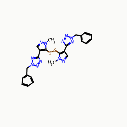 Cn1ncc(-c2nnn(Cc3ccccc3)n2)c1SSc1c(-c2nnn(Cc3ccccc3)n2)cnn1C